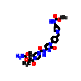 CC(C)(C)OC(=O)NC1C2CN(CC3CC=C(n4ccc(NC(=O)N5CCN(C(=O)C(C)(C)OC(N)=O)CC5)nc4=O)CC3)CC21